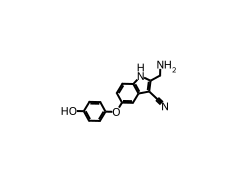 N#Cc1c(CN)[nH]c2ccc(Oc3ccc(O)cc3)cc12